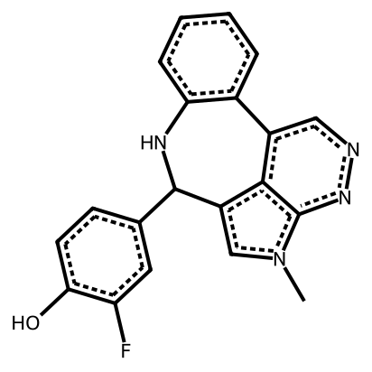 Cn1cc2c3c(cnnc31)-c1ccccc1NC2c1ccc(O)c(F)c1